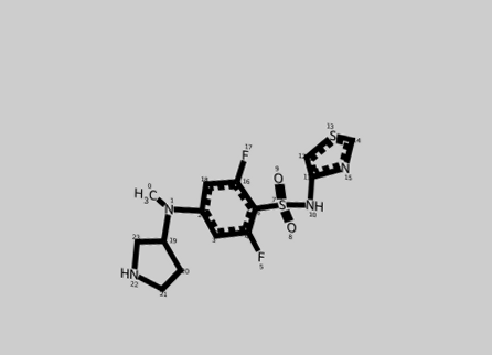 CN(c1cc(F)c(S(=O)(=O)Nc2cscn2)c(F)c1)C1CCNC1